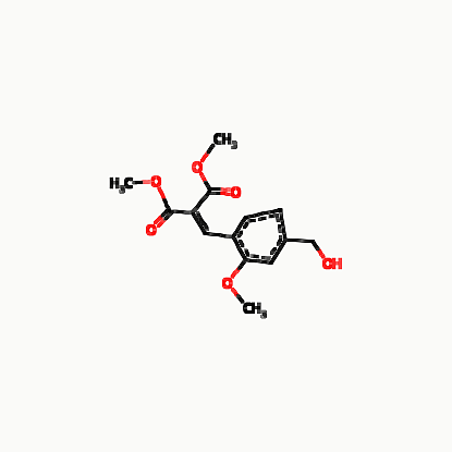 COC(=O)C(=Cc1ccc(CO)cc1OC)C(=O)OC